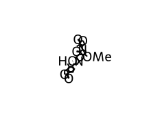 COC1CN(C2=C(C)C(=O)OC2)C(=O)C12CCN(C[C@@H](O)c1ccc3c(c1C)COC3=O)CC2